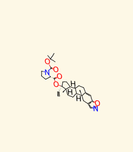 C#C[C@]1(OC(=O)[C@@H]2CCCN2C(=O)OC(C)(C)C)CC[C@H]2[C@@H]3CCC4=Cc5oncc5C[C@]4(C)[C@H]3CC[C@@]21C